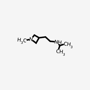 CC(C)NCCC1CN(C)C1